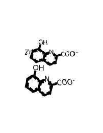 O=C([O-])c1ccc2cccc(O)c2n1.O=C([O-])c1ccc2cccc(O)c2n1.[Zn+2]